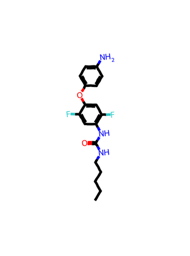 CCCCCNC(=O)Nc1cc(F)c(Oc2ccc(N)cc2)cc1F